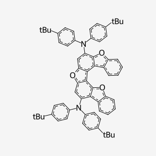 CC(C)(C)c1ccc(N(c2ccc(C(C)(C)C)cc2)c2cc3oc4cc(N(c5ccc(C(C)(C)C)cc5)c5ccc(C(C)(C)C)cc5)c5c6ccccc6oc5c4c3c3c2oc2ccccc23)cc1